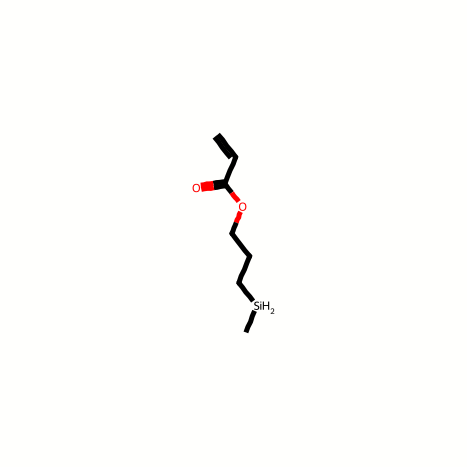 C=CC(=O)OCCC[SiH2]C